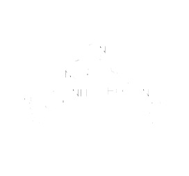 CC(C)(C)OC(=O)N1CCCC(O)(C#Cc2nccc3cnc(Nc4ccc(S(C)(=O)=O)cc4)cc23)C1